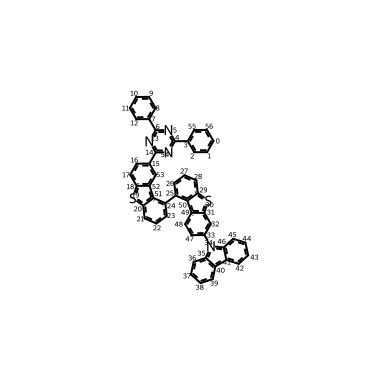 c1ccc(-c2nc(-c3ccccc3)nc(-c3ccc4sc5cccc(-c6cccc7sc8cc(-n9c%10ccccc%10c%10ccccc%109)ccc8c67)c5c4c3)n2)cc1